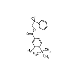 Cc1cc(C(=O)OCC2(c3ccccc3)CC2)ccc1C(C)(C)C